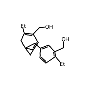 CCC1=C(CO)C=C2CC2(Cc2ccc(CC)c(CO)c2)C1